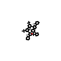 CC(C)(C)c1cc(-c2cccc3c2oc2ccccc23)c2c(c1)c1cc(C(C)(C)C)cc(-c3cccc4c3oc3ccccc34)c1n2-c1ccc2c(c1)C(C)(C)c1ccccc1-2